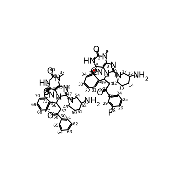 Cn1c(=O)[nH]c(=O)c2c1nc(N1CCCC(N)C1)n2C(CC(=O)c1cccc(F)c1)c1ccccc1C#N.Cn1c(=O)[nH]c(=O)c2c1nc(N1CCCC(N)C1)n2C(CC(=O)c1ccccc1)c1ccccc1C#N